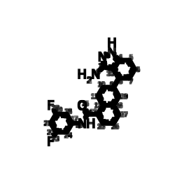 Nc1n[nH]c2cccc(-c3ccc4c(C(=O)Nc5cc(F)cc(F)c5)cccc4c3)c12